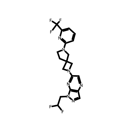 FC(F)Cn1ncc2ncc(N3CC4(CCN(c5cccc(C(F)(F)F)n5)C4)C3)nc21